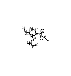 C=CN(C)C.CCOC(=O)c1cnc(SC)nc1